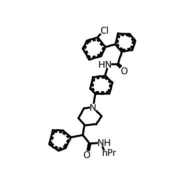 CCCNC(=O)C(c1ccccc1)C1CCN(c2ccc(NC(=O)c3ccccc3-c3ccccc3Cl)cc2)CC1